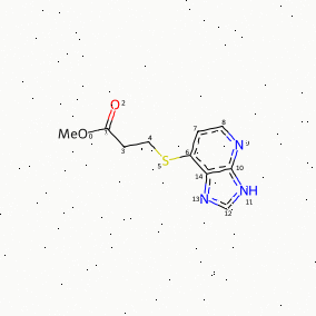 COC(=O)CCSc1ccnc2[nH]cnc12